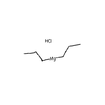 CC[CH2][Mg][CH2]CC.Cl